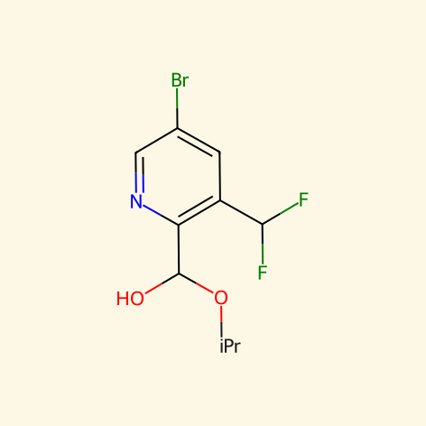 CC(C)OC(O)c1ncc(Br)cc1C(F)F